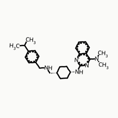 CC(C)c1ccc(CNC[C@H]2CC[C@@H](Nc3nc(N(C)C)c4ccccc4n3)CC2)cc1